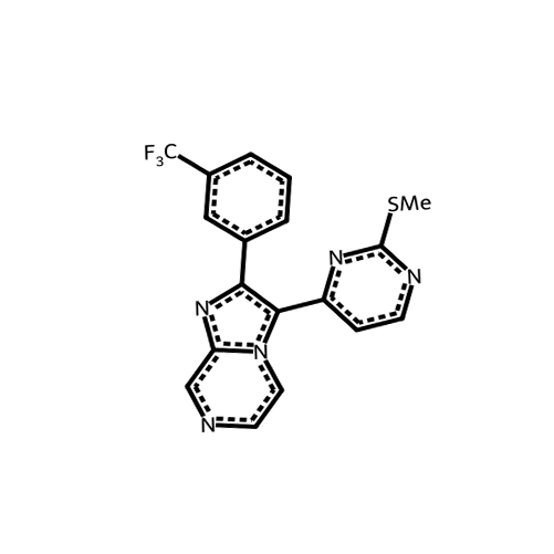 CSc1nccc(-c2c(-c3cccc(C(F)(F)F)c3)nc3cnccn23)n1